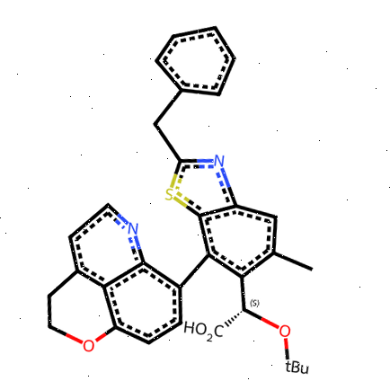 Cc1cc2nc(Cc3ccccc3)sc2c(-c2ccc3c4c(ccnc24)CCO3)c1[C@H](OC(C)(C)C)C(=O)O